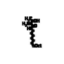 CCCCCCCCCCCCCCNC(=O)[C@@H](N)[C@@H](C)O